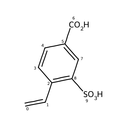 C=Cc1ccc(C(=O)O)cc1S(=O)(=O)O